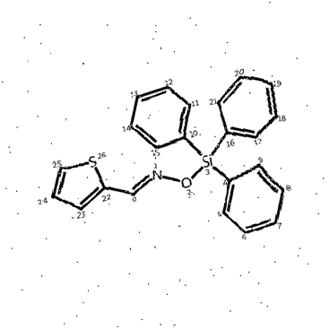 C(=NO[Si](c1ccccc1)(c1ccccc1)c1ccccc1)c1cccs1